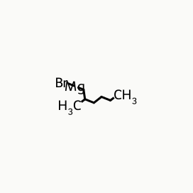 CCCCC(C)[CH2][Mg][Br]